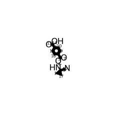 N#CC1(NCOC(=O)c2ccc(C(=O)O)cc2)CC1